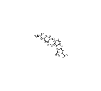 CC(C)CCN(Cc1ccc2c(c1)CCc1cc(OC(N)=O)ccc1O2)CC1CC1